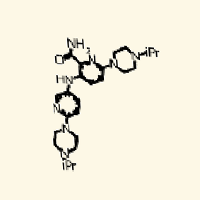 CC(C)N1CCN(c2ccc(Nc3ccc(N4CCN(C(C)C)CC4)nc3C(N)=O)cn2)CC1